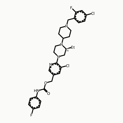 CC[C@H]1CN(c2ncc(COC(=O)Nc3ccc(F)cc3)cc2Cl)CCN1C1CCN(Cc2ccc(Cl)cc2F)CC1